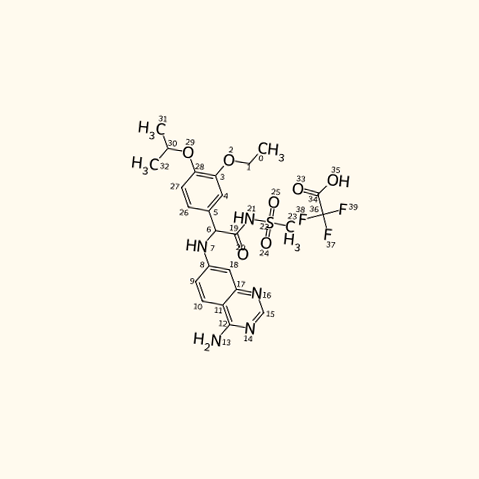 CCOc1cc(C(Nc2ccc3c(N)ncnc3c2)C(=O)NS(C)(=O)=O)ccc1OC(C)C.O=C(O)C(F)(F)F